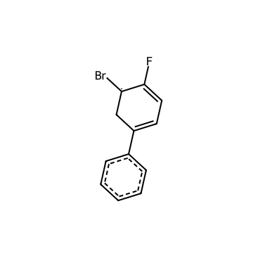 FC1=CC=C(c2ccccc2)C[C]1Br